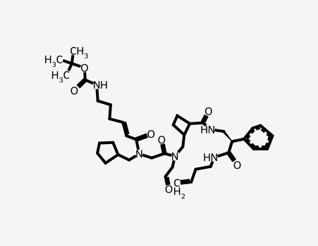 C=CCCNC(=O)[C@@H](CNC(=O)C1CCC1CN(CC=O)C(=O)CN(CC1CCCC1)C(=O)C=CCCCNC(=O)OC(C)(C)C)c1ccccc1